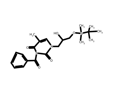 Cc1cn(CC(O)CO[Si](C)(C)C(C)(C)C)c(=O)n(C(=O)c2ccccc2)c1=O